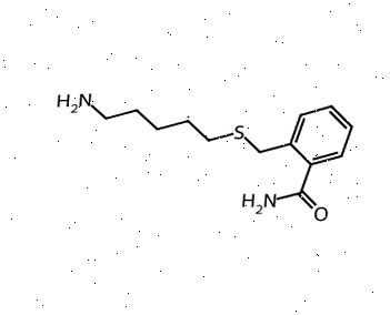 NCCC[CH]CSCc1ccccc1C(N)=O